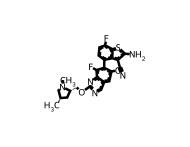 C[C@H]1C[C@@H](COc2ncc3cc(Cl)c(-c4ccc(F)c5sc(N)c(C#N)c45)c(F)c3n2)N(C)C1